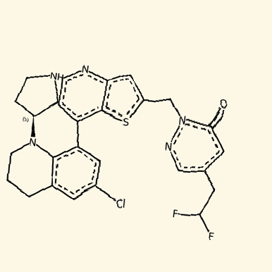 O=c1cc(CC(F)F)cnn1Cc1cc2nccc(-c3cc(Cl)cc4c3N([C@H]3CCNC3)CCC4)c2s1